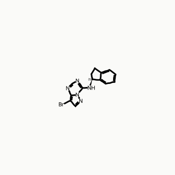 Brc1cnn2c(N[C@H]3CCc4ccccc43)ncnc12